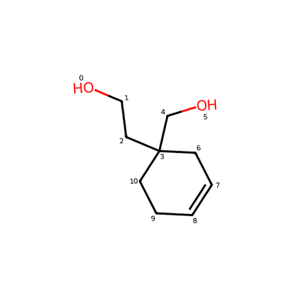 OCCC1(CO)CC=CCC1